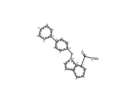 COC(=O)c1cccc2ccn(Cc3ccc(-c4ccccn4)cc3)c12